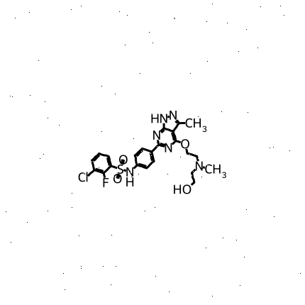 Cc1n[nH]c2nc(-c3ccc(NS(=O)(=O)c4cccc(Cl)c4F)cc3)nc(OCCN(C)CCO)c12